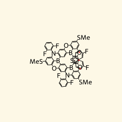 CSc1cc2c3c(c1)Oc1c(sc4ccc(F)cc14)B3c1cc3c(cc1O2)N(c1c(F)cccc1F)c1cc(SC)cc2c1B3c1cc3c(cc1O2)N(c1c(F)cccc1F)c1cc(SC)cc2c1B3c1sc3ccc(F)cc3c1O2